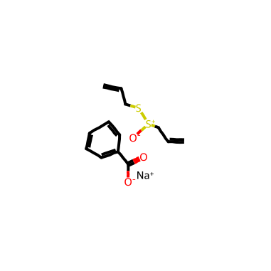 C=CCS[S+]([O-])CC=C.O=C([O-])c1ccccc1.[Na+]